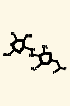 COc1nc(Cl)c(C=O)c(NNc2c(C)cc(OC(F)F)cc2C)n1